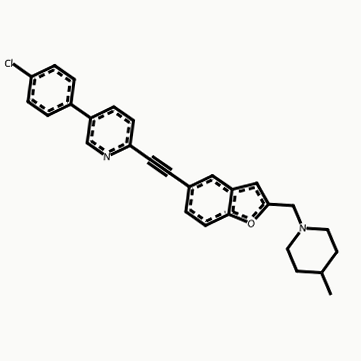 CC1CCN(Cc2cc3cc(C#Cc4ccc(-c5ccc(Cl)cc5)cn4)ccc3o2)CC1